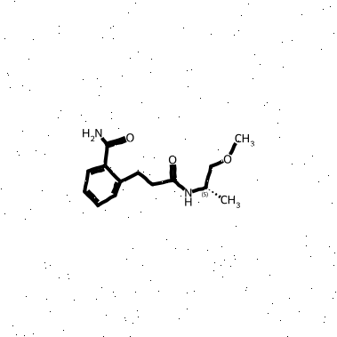 COC[C@H](C)NC(=O)C[CH]c1ccccc1C(N)=O